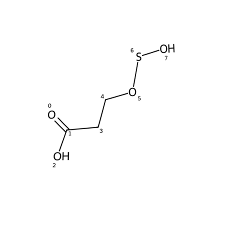 O=C(O)CCOSO